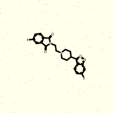 O=C1c2ccc(F)cc2C(=O)N1CCN1CCC(c2onc3cc(F)ccc23)CC1